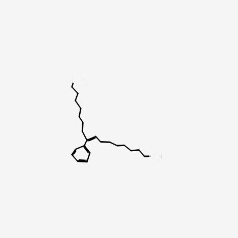 [CH2]CCCCCCC/C(=C/CCCCCCCC)c1ccccc1